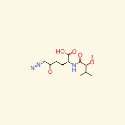 CO[C@H](C(=O)N[C@@H](CCC(=O)C=[N+]=[N-])C(=O)O)C(C)C